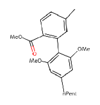 CCCCCc1cc(OC)c(-c2cc(C)ccc2C(=O)OC)c(OC)c1